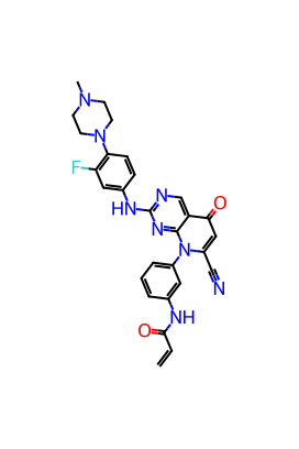 C=CC(=O)Nc1cccc(-n2c(C#N)cc(=O)c3cnc(Nc4ccc(N5CCN(C)CC5)c(F)c4)nc32)c1